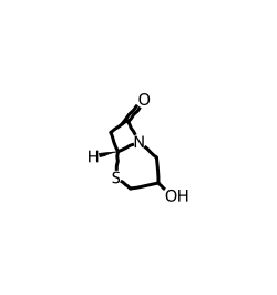 O=C1C[C@H]2SCC(O)CN12